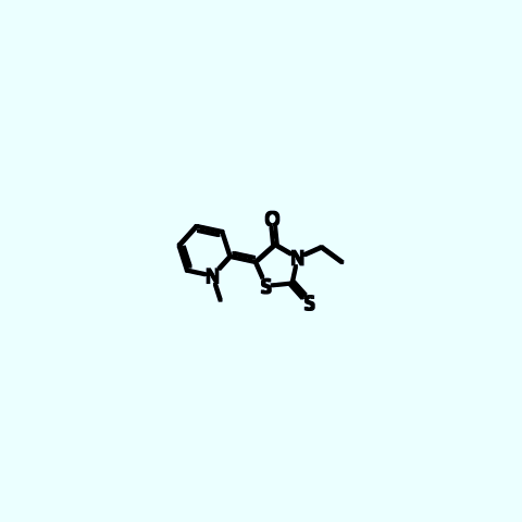 CCN1C(=O)/C(=C2\C=CC=CN2C)SC1=S